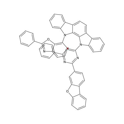 c1ccc(-c2nc(-c3ccc4c(c3)oc3ccccc34)nc(-n3c4ccccc4c4ccc5c6ccccc6n(-c6cccc7nc(-c8ccccc8)oc67)c5c43)n2)cc1